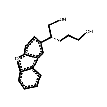 OCCC[C@@H](CO)c1ccc2oc3ccccc3c2c1